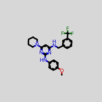 COc1ccc(Nc2nc(NCc3cccc(C(F)(F)F)c3)cc(N3CCCCC3)n2)cc1